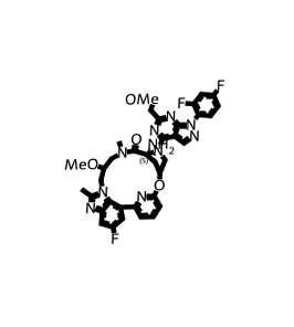 COCc1nc(N2CC3C[C@@]2(N)C(=O)N(C)CC(OC)Cn2c(C)nc4cc(F)cc(c42)-c2cccc(n2)O3)c2cnn(-c3ccc(F)cc3F)c2n1